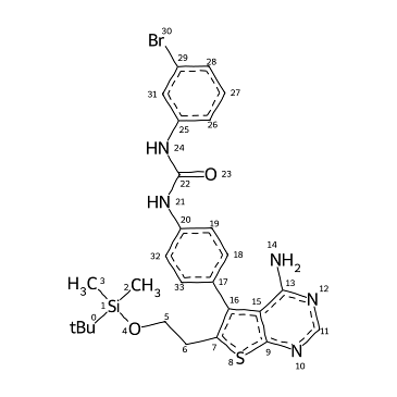 CC(C)(C)[Si](C)(C)OCCc1sc2ncnc(N)c2c1-c1ccc(NC(=O)Nc2cccc(Br)c2)cc1